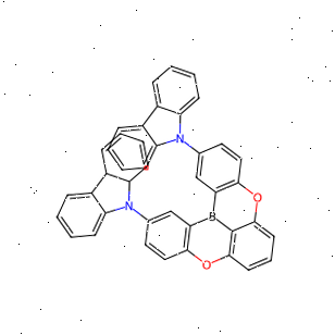 C1=CC2c3ccccc3N(c3ccc4c(c3)B3c5cc(-n6c7ccccc7c7ccccc76)ccc5Oc5cccc(c53)O4)C2C=C1